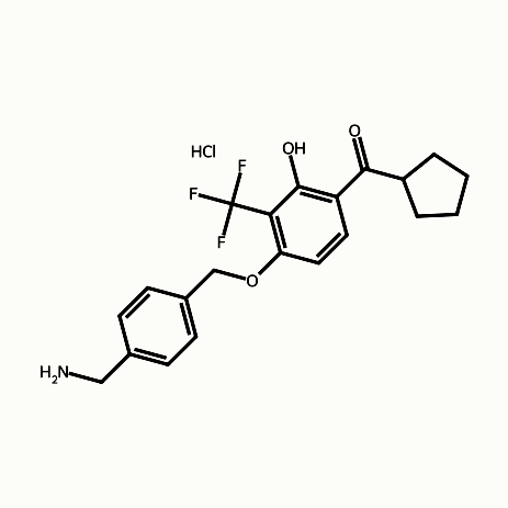 Cl.NCc1ccc(COc2ccc(C(=O)C3CCCC3)c(O)c2C(F)(F)F)cc1